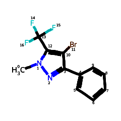 Cn1nc(-c2ccccc2)c(Br)c1C(F)(F)F